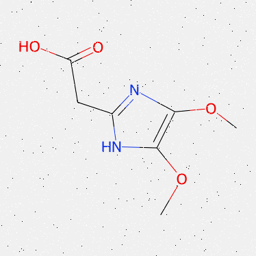 COc1nc(CC(=O)O)[nH]c1OC